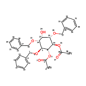 CCCC(=O)O[C@@H]1[C@@H](OCc2ccccc2)[C@H](OCc2ccccc2)[C@H](O)[C@H](OCc2ccccc2)[C@H]1OC(=O)CCC